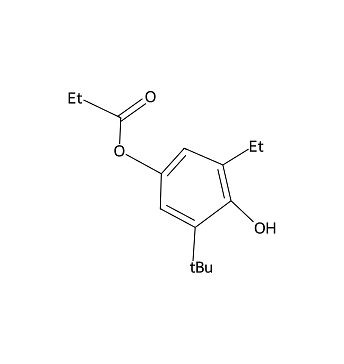 CCC(=O)Oc1cc(CC)c(O)c(C(C)(C)C)c1